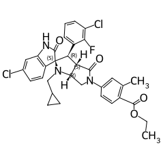 CCOC(=O)c1ccc(N2C[C@H]3[C@@H](C2=O)[C@H](c2cccc(Cl)c2F)[C@]2(C(=O)Nc4cc(Cl)ccc42)N3CC2CC2)cc1C